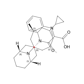 C[C@H]1CC(C2CC2)C[C@H](C)CC(N2[C@@H]3CCC[C@H]2C[C@@H](n2c(=O)c(C(=O)O)nc4ccccc42)C3)C1